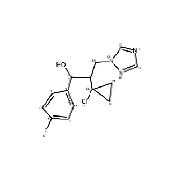 OC(c1ccc(F)cc1)C(Cn1cncn1)C1(Cl)CC1